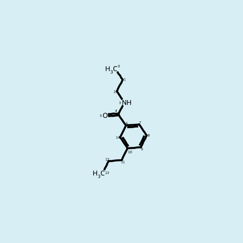 CCCNC(=O)c1cccc(CCC)c1